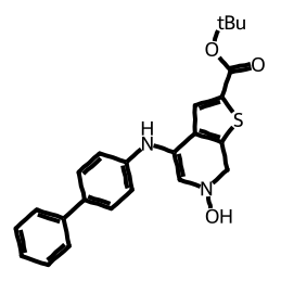 CC(C)(C)OC(=O)c1cc2c(s1)CN(O)C=C2Nc1ccc(-c2ccccc2)cc1